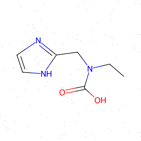 CCN(Cc1ncc[nH]1)C(=O)O